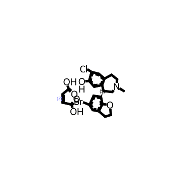 CN1CCc2cc(Cl)c(O)cc2[C@@H](c2cc(Br)cc3c2OCC3)C1.O=C(O)/C=C\C(=O)O